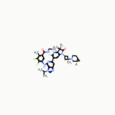 CCNC(=O)c1cc(Nc2nc(-c3cc4c(nc3F)C(C)(C)C(=O)N4[C@H]3C[C@@](C)(N4CCC5C[C@H]5C4)C3)cc3ncn(C(C)C)c23)c(F)c(F)c1C